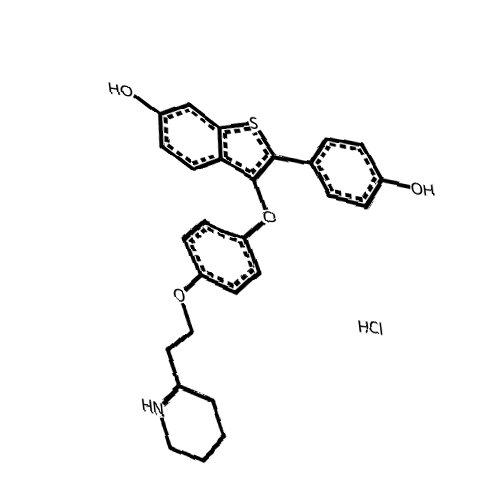 Cl.Oc1ccc(-c2sc3cc(O)ccc3c2Oc2ccc(OCCC3CCCCN3)cc2)cc1